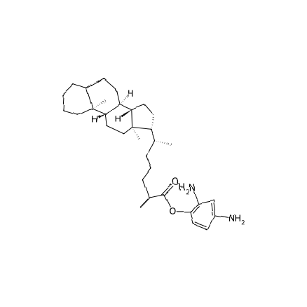 CC(CCC[C@@H](C)[C@H]1CC[C@H]2[C@@H]3CCC4CCCC[C@]4(C)[C@H]3CC[C@]12C)C(=O)Oc1ccc(N)cc1N